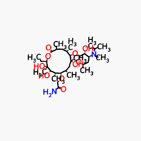 CC[C@H]1OC(=O)C(C)C[C@H](C)[C@@H](O[C@@H]2O[C@H](C)C[C@H](N(C)C(C)C)[C@H]2O)[C@](C)(O)C[C@@H](C)[C@H](OCC(N)=O)[C@H](C)[C@@H](O)[C@]1(C)O